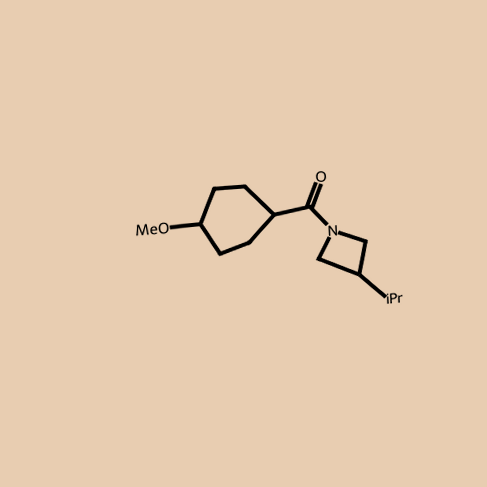 COC1CCC(C(=O)N2CC(C(C)C)C2)CC1